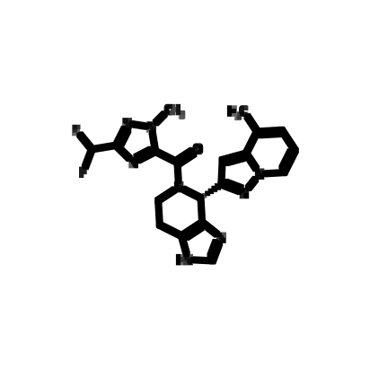 Cc1cccn2nc([C@@H]3c4nc[nH]c4CCN3C(=O)c3nc(C(F)F)nn3C)cc12